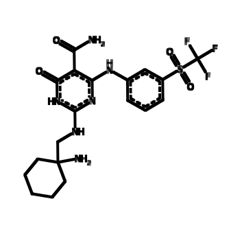 NC(=O)c1c(Nc2cccc(S(=O)(=O)C(F)(F)F)c2)nc(NCC2(N)CCCCC2)[nH]c1=O